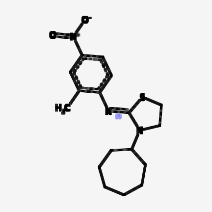 Cc1cc([N+](=O)[O-])ccc1/N=C1\SCCN1C1CCCCCC1